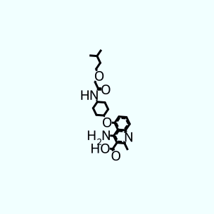 Cc1nc2cccc(O[C@H]3CC[C@H](NC(=O)COCCC(C)C)CC3)c2c(N)c1C(=O)O